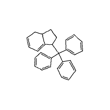 C1=CCC2CCC(C(c3ccccc3)(c3ccccc3)c3ccccc3)C2=C1